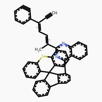 C#C/C(=C\C=C(/C)c1nc(-c2cccc3c2C2(c4ccccc4Sc4ccccc42)c2ccccc2-3)c2ccccc2n1)c1c#cccc1